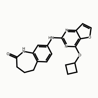 O=C1CCCc2ccc(Nc3nc(OC4CCC4)c4occc4n3)cc2N1